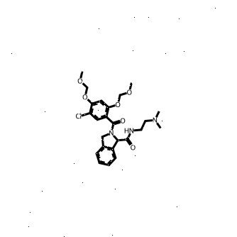 COCOc1cc(OCOC)c(C(=O)N2Cc3ccccc3C2C(=O)NCCN(C)C)cc1Cl